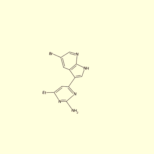 CCc1cc(-c2c[nH]c3ncc(Br)cc23)nc(N)n1